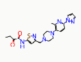 CCC(=O)C(=O)Nc1cc(CN2CCN(c3ccc(-n4cccn4)nc3C)CC2)ns1